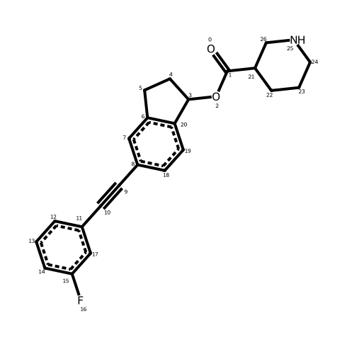 O=C(OC1CCc2cc(C#Cc3cccc(F)c3)ccc21)C1CCCNC1